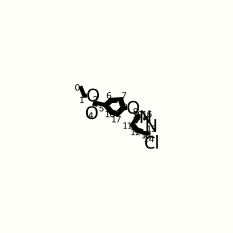 CCOC(=O)c1ccc(Oc2ccc(Cl)nn2)cc1